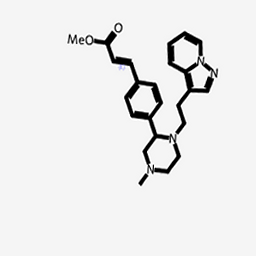 COC(=O)/C=C/c1ccc(C2CN(C)CCN2CCc2cnn3ccccc23)cc1